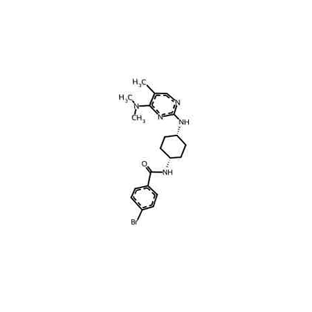 Cc1cnc(N[C@H]2CC[C@@H](NC(=O)c3ccc(Br)cc3)CC2)nc1N(C)C